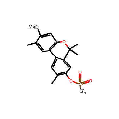 COc1cc2c(cc1C)-c1cc(C)c(OS(=O)(=O)C(F)(F)F)cc1C(C)(C)O2